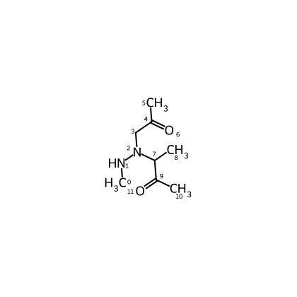 CNN(CC(C)=O)C(C)C(C)=O